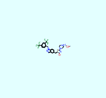 COC[C@@H]1CN(C2=NC(=O)/C(=C/c3ccc4c(cnn4Cc4ccc(C(F)(F)F)cc4C(F)(F)F)c3)S2)CCN1